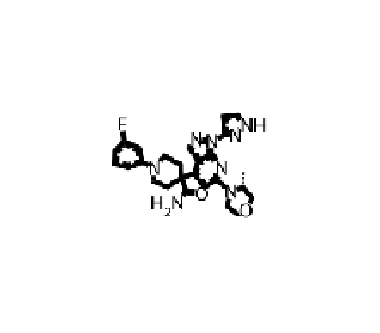 C[C@@H]1COCCN1c1cc(C2(C(N)=O)CCN(c3cccc(F)c3)CC2)c2cnn(-c3cc[nH]n3)c2n1